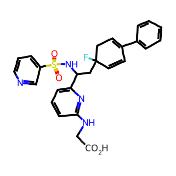 O=C(O)CNc1cccc(C(CC2(F)C=CC(c3ccccc3)=CC2)NS(=O)(=O)c2cccnc2)n1